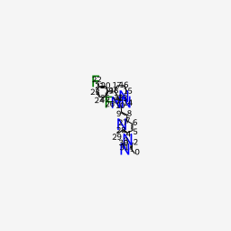 Cc1cn(-c2ccc(/C=C/c3nc4n(n3)CCC[C@@H]4c3cc(F)ccc3F)nc2C)cn1